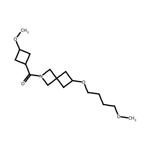 COCCCCOC1CC2(C1)CN(C(=O)C1CC(OC)C1)C2